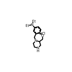 CCN(CC)c1ccc2c(c1)CN1CCNCC1CO2.Cl